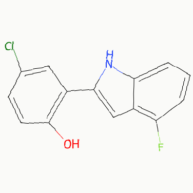 Oc1ccc(Cl)cc1-c1cc2c(F)cccc2[nH]1